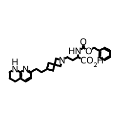 O=C(NC(CCN1CC2(CC(CCc3ccc4c(n3)NCCC4)C2)C1)C(=O)O)OCc1ccccc1